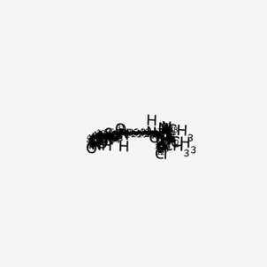 Cc1sc2c(c1C)C(c1ccc(Cl)cc1)=N[C@@H](CC(=O)NCCCCCCCCNC(=O)c1ccc3nc(N4CCC5(CCCC(=O)NC5=O)C4)sc3c1)c1nnc(C)n1-2